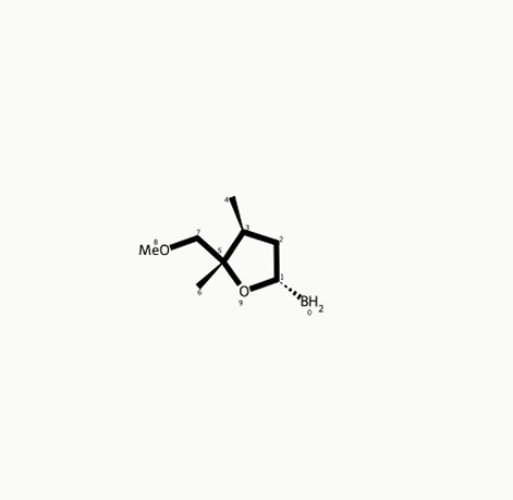 B[C@H]1C[C@H](C)[C@@](C)(COC)O1